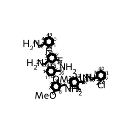 COc1cccc(CN)c1.COc1ccccc1CN.Cc1ccccc1CN.NCc1cccc(F)c1.NCc1ccccc1Cl.NCc1ccccc1F